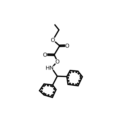 CCOC(=O)C(=O)ONC(c1ccccc1)c1ccccc1